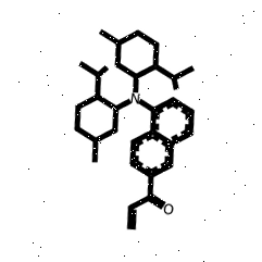 C=CC(=O)c1ccc2c(N(C3CC(C)CCC3C(C)C)C3CC(C)CCC3C(C)C)cccc2c1